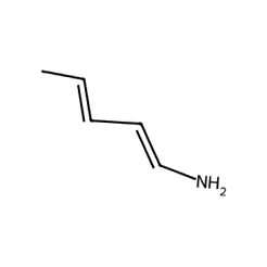 CC=CC=CN